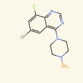 Fc1cc(Cl)cc2c(N3CCN(P)CC3)ncnc12